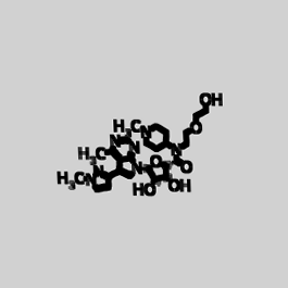 Cc1ncnc2c1c(-c1ccn(C)n1)cn2[C@@H]1O[C@H](C(=O)N(CCOCCO)C2CCN(C)CC2)[C@@H](O)[C@H]1O